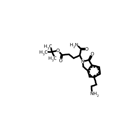 CC(C)(C)OC(=O)CCC(C(N)=O)N1Cc2cc(CCN)ccc2C1=O